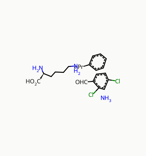 CCCc1ccccc1.N.NCCCC[C@H](N)C(=O)O.O=Cc1ccc(Cl)cc1Cl